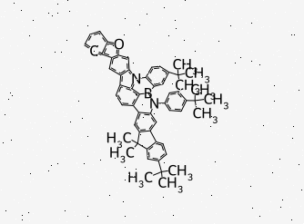 CC(C)(C)c1ccc(N2B3c4cc(C(C)(C)C)ccc4-n4c5cc6oc7ccccc7c6cc5c5ccc(c3c54)-c3cc4c(cc32)-c2ccc(C(C)(C)C)cc2C4(C)C)cc1